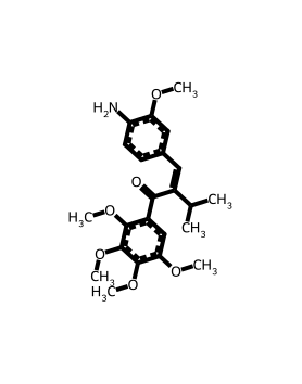 COc1cc(C=C(C(=O)c2cc(OC)c(OC)c(OC)c2OC)C(C)C)ccc1N